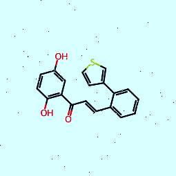 O=C(C=Cc1ccccc1-c1ccsc1)c1cc(O)ccc1O